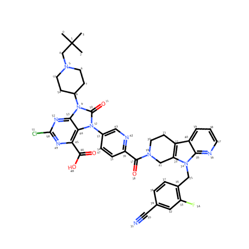 CC(C)(C)CN1CCC(n2c(=O)n(-c3ccc(C(=O)N4CCc5c(n(Cc6ccc(C#N)cc6F)c6ncccc56)C4)nc3)c3c(C(=O)O)nc(Cl)nc32)CC1